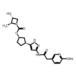 COc1ccc(CC(=O)Nc2cc([C@H]3CC[C@@H](OC(=O)N4C[C@@H](O)[C@@H]4C)C3)[nH]n2)cn1